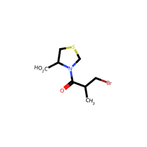 CC(CBr)C(=O)N1CSCC1C(=O)O